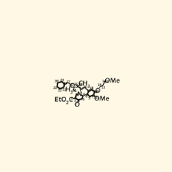 CCOC(=O)c1cn2c(cc1=O)-c1cc(OC)c(OCCCOC)cc1CC2C(C)(C)COCc1ccccc1